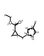 CCOC(=O)C1CC1Cn1cc(C)cn1